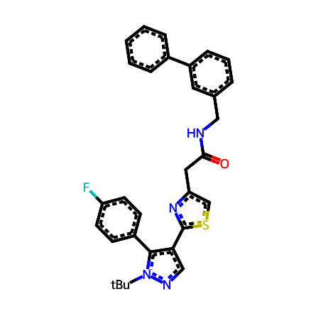 CC(C)(C)n1ncc(-c2nc(CC(=O)NCc3cccc(-c4ccccc4)c3)cs2)c1-c1ccc(F)cc1